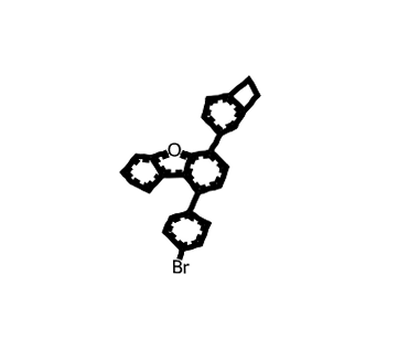 Brc1ccc(-c2ccc(-c3ccc4c(c3)CC4)c3oc4ccccc4c23)cc1